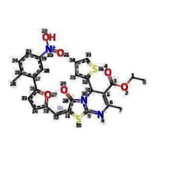 CCOC(=O)C1=C(C)N=c2s/c(=C/c3ccc(-c4cc([N+](=O)O)ccc4C)o3)c(=O)n2C1c1cccs1